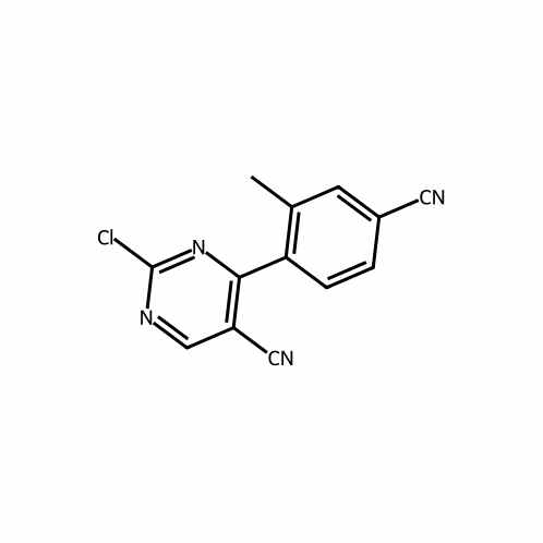 Cc1cc(C#N)ccc1-c1nc(Cl)ncc1C#N